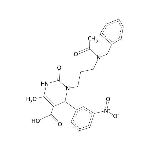 CC(=O)N(CCCN1C(=O)NC(C)=C(C(=O)O)C1c1cccc([N+](=O)[O-])c1)Cc1ccccc1